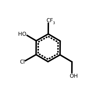 OCc1cc(Cl)c(O)c(C(F)(F)F)c1